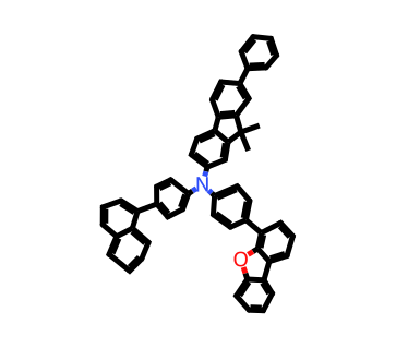 CC1(C)c2cc(-c3ccccc3)ccc2-c2ccc(N(c3ccc(-c4cccc5ccccc45)cc3)c3ccc(-c4cccc5c4oc4ccccc45)cc3)cc21